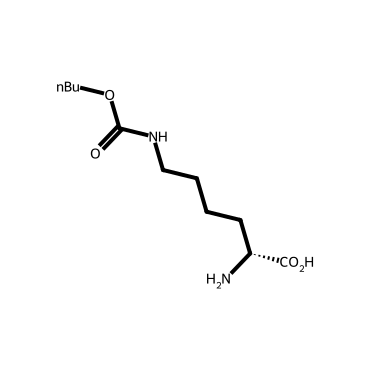 CCCCOC(=O)NCCCC[C@@H](N)C(=O)O